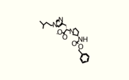 COC(=O)[C@H](Cc1cn(CCC(C)C)cn1)N1CC[C@H](NC(=O)OCc2ccccc2)C1